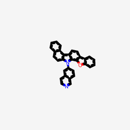 c1ccc2c(c1)ccc1c2c2ccc3c4ccccc4oc3c2n1-c1ccc2cnccc2c1